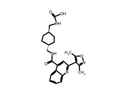 Cc1noc(C)c1-c1cc(C(=O)NC[C@H]2CC[C@H](CNC(=O)O)CC2)c2ccccc2n1